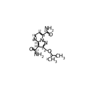 CC(C)OCc1nn2c(C(N)=O)ccnc2c1C(N)=O